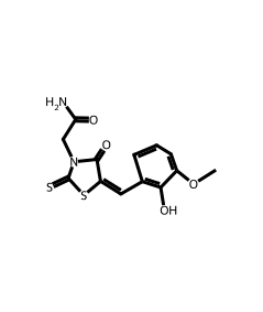 COc1cccc(/C=C2/SC(=S)N(CC(N)=O)C2=O)c1O